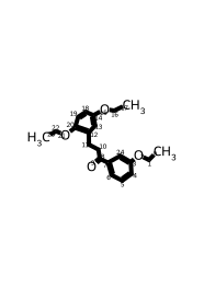 CCOc1cccc(C(=O)CCc2cc(OCC)ccc2OCC)c1